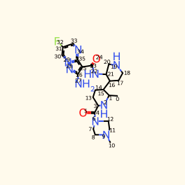 CC1NC(C(=O)N2CCN(C)CC2)CCC1C1CCNCC1NC(=O)c1c(N)nn2cc(F)cnc12